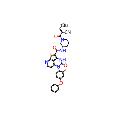 Cc1cc(Oc2ccccc2)ccc1N1C(=O)Nc2c(C(=O)N[C@H]3CCCN(C(=O)/C(C#N)=C/C(C)(C)C)C3)sc3nccc1c23